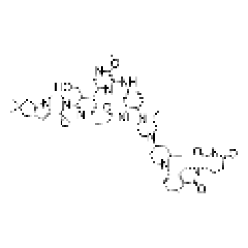 C=CC(=O)Nc1cc(Nc2nc(-c3ccnc(N4CCn5c(cc6c5CC(C)(C)C6)C4=O)c3CO)cnc2OC)ccc1N1CCN(C2CCN(c3cccc4c3CN(C3CCC(=O)N(C)C3=O)C4=O)[C@@H](C)C2)C[C@@H]1C